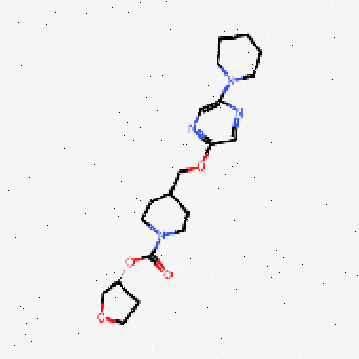 O=C(O[C@@H]1CCOC1)N1CCC(COc2cnc(N3CCCCC3)cn2)CC1